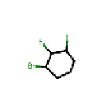 FC1CCCC(Br)C1F